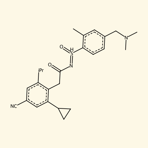 Cc1cc(CN(C)C)ccc1[SH](=O)=NC(=O)Cc1c(C(C)C)cc(C#N)cc1C1CC1